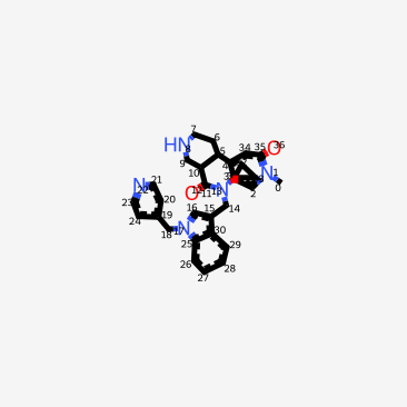 Cn1ccc(C2CCNCC2C(=O)N(Cc2cn(Cc3ccncc3)c3ccccc23)C2CC2)cc1=O